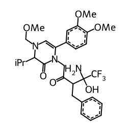 COCN1C=C(c2ccc(OC)c(OC)c2)N(CC(=O)C(Cc2ccccc2)C(N)(O)C(F)(F)F)C(=O)C1C(C)C